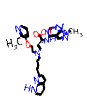 Cc1ncccc1OCCN(CCCCc1ccc2c(n1)NCCC2)CC[C@H](Nc1ncnc2c1cnn2C)C(=O)O